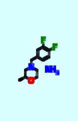 C[C@H]1CN(Cc2ccc(F)c(F)c2)CCO1.N